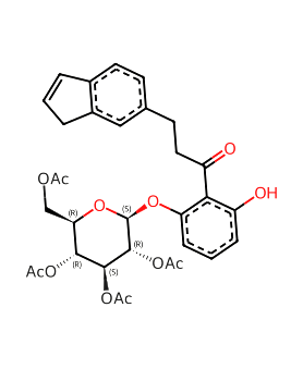 CC(=O)OC[C@H]1O[C@@H](Oc2cccc(O)c2C(=O)CCc2ccc3c(c2)CC=C3)[C@H](OC(C)=O)[C@@H](OC(C)=O)[C@@H]1OC(C)=O